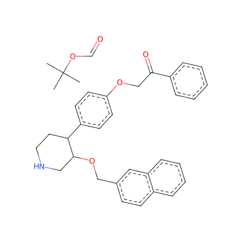 CC(C)(C)OC=O.O=C(COc1ccc(C2CCNCC2OCc2ccc3ccccc3c2)cc1)c1ccccc1